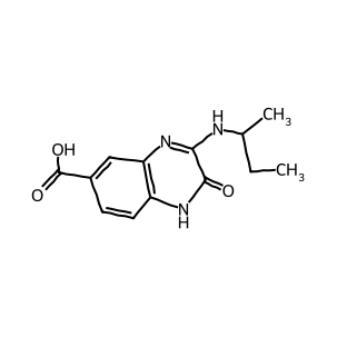 CCC(C)Nc1nc2cc(C(=O)O)ccc2[nH]c1=O